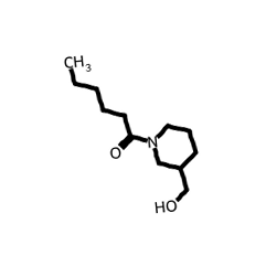 CCCCCC(=O)N1CCCC(CO)C1